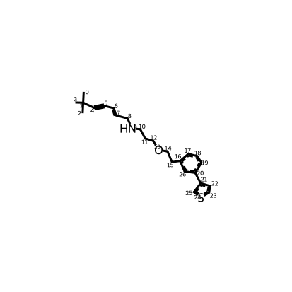 CC(C)(C)C#CC=CCNCCCOCCc1cccc(-c2ccsc2)c1